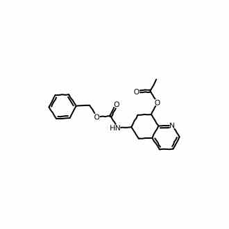 CC(=O)OC1CC(NC(=O)OCc2ccccc2)Cc2cccnc21